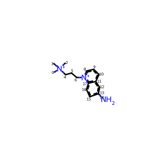 C[N+](C)(C)CCC[n+]1cccc2cc(N)ccc21